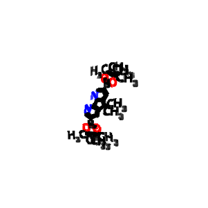 CC1(C)c2cc(B3OC(C)(C)C(C)(C)O3)cnc2-c2ncc(B3OC(C)(C)C(C)(C)O3)cc21